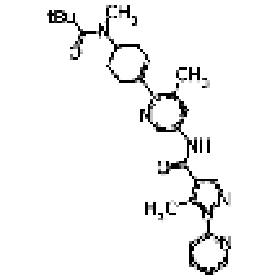 Cc1cc(NC(=O)c2cnn(-c3ccccn3)c2C)cnc1C1=CCC(N(C)C(=O)C(C)(C)C)CC1